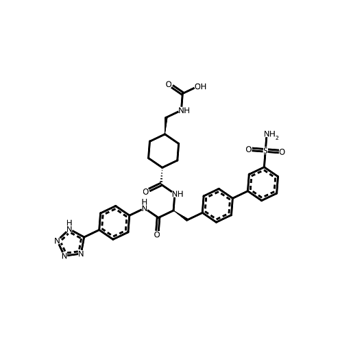 NS(=O)(=O)c1cccc(-c2ccc(C[C@H](NC(=O)[C@H]3CC[C@H](CNC(=O)O)CC3)C(=O)Nc3ccc(-c4nnn[nH]4)cc3)cc2)c1